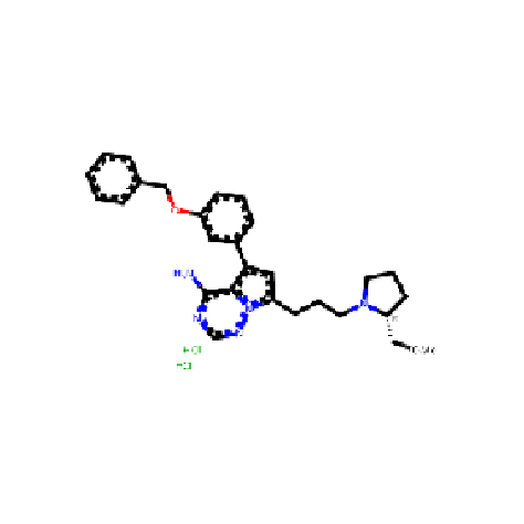 COC[C@H]1CCCN1CCCc1cc(-c2cccc(OCc3ccccc3)c2)c2c(N)ncnn12.Cl.Cl